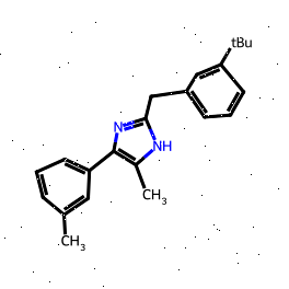 Cc1cccc(-c2nc(Cc3cccc(C(C)(C)C)c3)[nH]c2C)c1